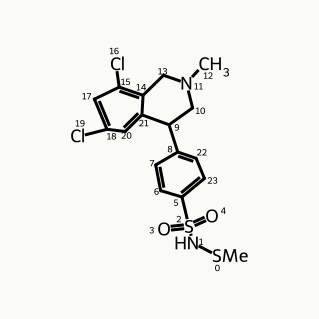 CSNS(=O)(=O)c1ccc(C2CN(C)Cc3c(Cl)cc(Cl)cc32)cc1